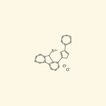 [Cl-].[Cl-].[Zr+2][CH]1c2ccccc2-c2cccc(C3=CC(c4ccccc4)=CC3)c21